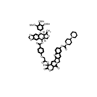 C=C1OC[C@H]2C(OC(=O)c3ccc(OCC(=O)OC4(CC)C(=O)OCc5c4cc4n(c5=O)Cc5cc6cc(OC(=O)N7CCC(N8CCCCC8)CC7)ccc6nc5-4)cc3)c3cc4c(cc3[C@H](c3cc(OC)c(OC)c(OC)c3)[C@@H]12)OCO4